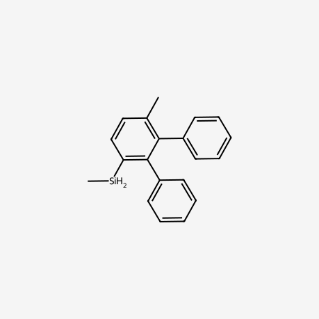 C[SiH2]c1ccc(C)c(-c2ccccc2)c1-c1ccccc1